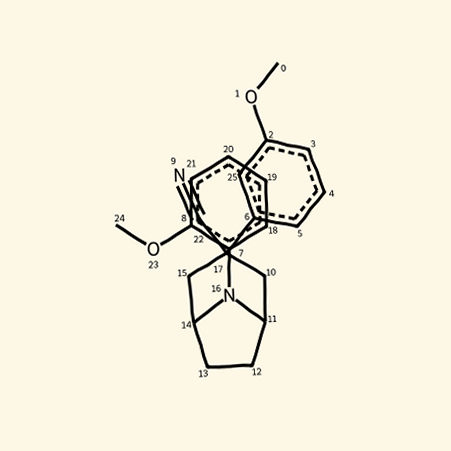 COc1cccc(C2(C#N)CC3CCC(C2)N3c2ccccc2OC)c1